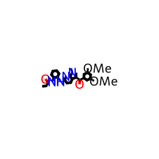 C=CC(=O)Nc1ccccc1Nc1ccc2c(C(=O)c3cc(OC)cc(OC)c3)cn(C)c2n1